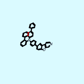 c1ccc(-c2ccc(N(c3ccc(-c4ccc5oc6cnccc6c5c4)cc3)c3ccccc3-c3ccccc3)cc2)cc1